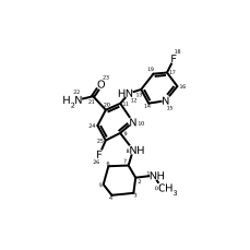 CNC1CCCCC1Nc1nc(Nc2cncc(F)c2)c(C(N)=O)cc1F